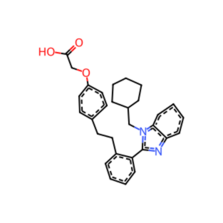 O=C(O)COc1ccc(CCc2ccccc2-c2nc3ccccc3n2CC2CCCCC2)cc1